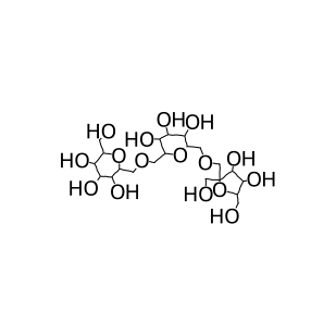 OCC1OC(COCC2OC(COCC3(CO)OC(CO)C(O)C3O)C(O)C(O)C2O)C(O)C(O)C1O